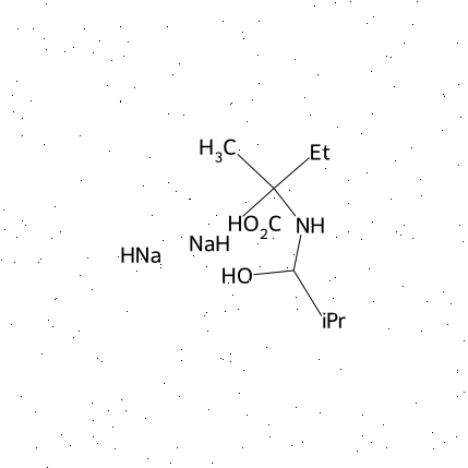 CCC(C)(NC(O)C(C)C)C(=O)O.[NaH].[NaH]